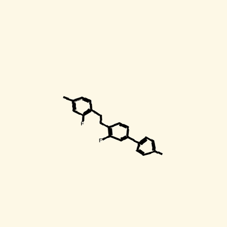 Cc1ccc(-c2ccc(CCc3ccc(C)cc3F)c(F)c2)cc1